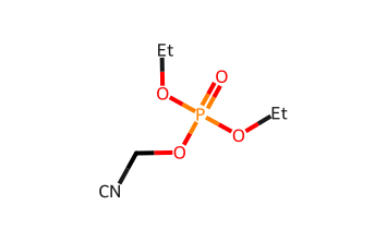 [C-]#[N+]COP(=O)(OCC)OCC